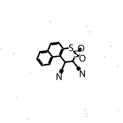 N#CC1c2c(ccc3ccccc23)SS(=O)(=O)C1C#N